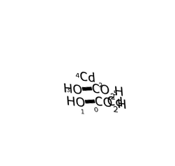 O=C(O)O.O=C(O)O.[Cd].[Cd]